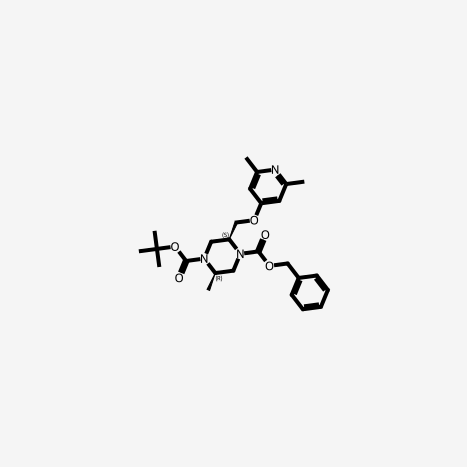 Cc1cc(OC[C@@H]2CN(C(=O)OC(C)(C)C)[C@H](C)CN2C(=O)OCc2ccccc2)cc(C)n1